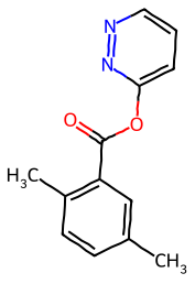 Cc1ccc(C)c(C(=O)Oc2cccnn2)c1